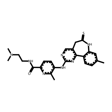 Cc1ccc2c(c1)NC(=S)Cc1cnc(Nc3ccc(C(=O)NCCN(C)C)nc3C)nc1-2